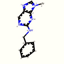 CC(C)n1cnc2cnc(NCc3ccccc3)nc21